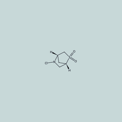 O=S1(=O)C[C@@H]2C[C@H]1CN2Cl